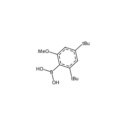 COc1cc(C(C)(C)C)cc(C(C)(C)C)c1B(O)O